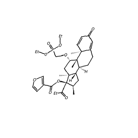 CCOP(=O)(CO[C@H]1C[C@@]2(C)[C@@H](C[C@@H](C)[C@]2(OC(=O)c2ccoc2)C(=O)CC)[C@@H]2CCC3=CC(=O)C=C[C@]3(C)[C@@]12C)OCC